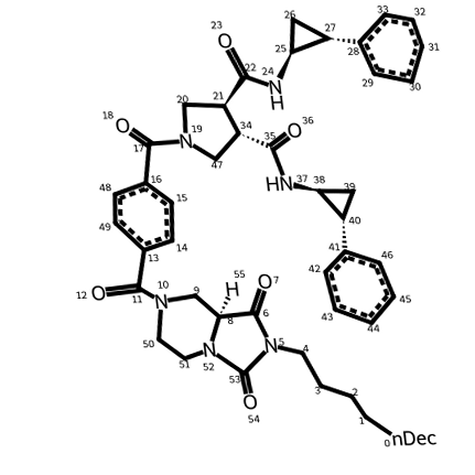 CCCCCCCCCCCCCCN1C(=O)[C@@H]2CN(C(=O)c3ccc(C(=O)N4C[C@@H](C(=O)N[C@H]5C[C@@H]5c5ccccc5)[C@H](C(=O)N[C@H]5C[C@@H]5c5ccccc5)C4)cc3)CCN2C1=O